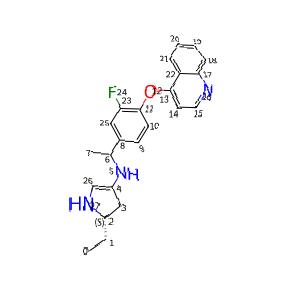 CC[C@H]1CC(NC(C)c2ccc(Oc3ccnc4ccccc34)c(F)c2)=CN1